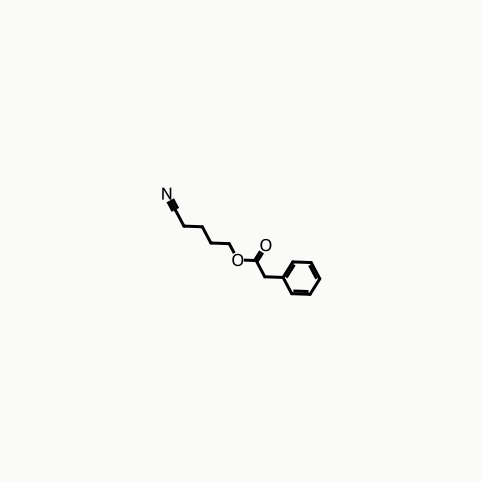 N#CCCCCOC(=O)Cc1ccccc1